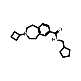 O=C(NCC1CCCC1)c1ccc2c(c1)CCN(C1CCC1)CC2